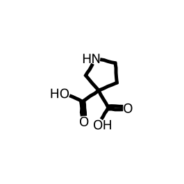 O=C(O)C1(C(=O)O)CCNC1